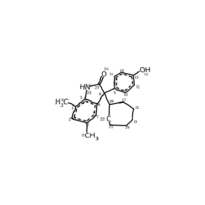 Cc1cc(C)c2c(c1)C(c1ccc(O)cc1)(C1CCCCCC1)C(=O)N2